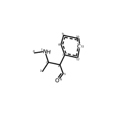 CNC(C)C(C=O)c1ccccc1